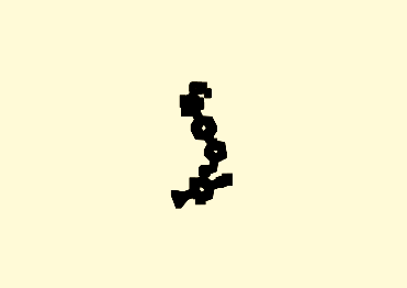 Cc1nnc(-c2ccc(N3CCC(COc4nc(C5CC5)ncc4C#N)C3)cc2)s1